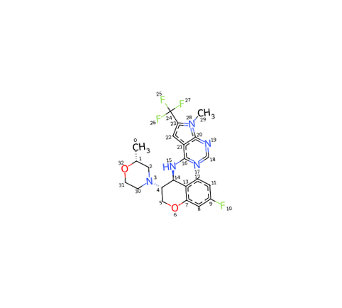 C[C@@H]1CN([C@H]2COc3cc(F)ccc3[C@@H]2Nc2ncnc3c2cc(C(F)(F)F)n3C)CCO1